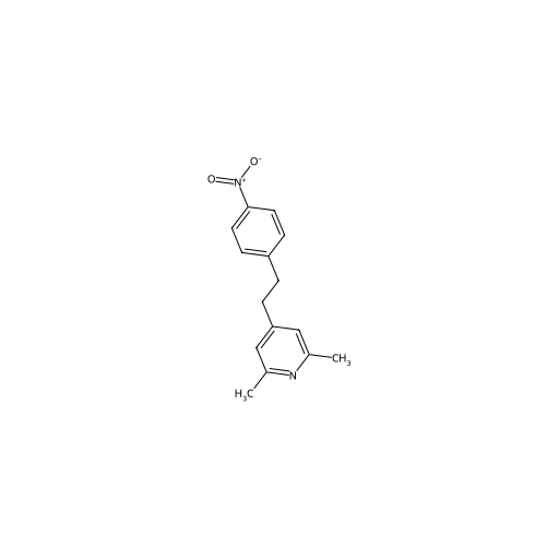 Cc1cc(CCc2ccc([N+](=O)[O-])cc2)cc(C)n1